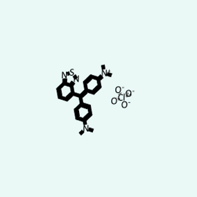 CN(C)c1ccc(C(=C2C=CC(=[N+](C)C)C=C2)c2cccc3nsnc23)cc1.[O-][Cl+3]([O-])([O-])[O-]